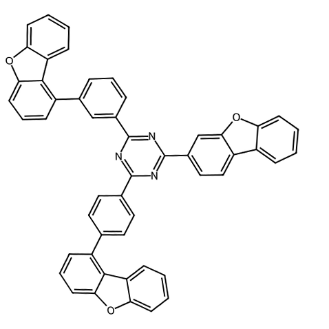 c1cc(-c2nc(-c3ccc(-c4cccc5oc6ccccc6c45)cc3)nc(-c3ccc4c(c3)oc3ccccc34)n2)cc(-c2cccc3oc4ccccc4c23)c1